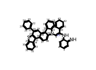 N=C1C=CC=CC1N/C(=C/n1c2ccccc2c2c3cc(-c4ccccc4)c4sc5ccccc5c4c3ccc21)C1=CCCC=C1